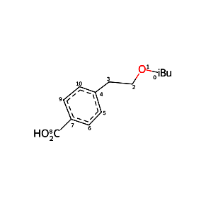 CCC(C)OCCc1ccc(C(=O)O)cc1